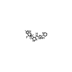 Cc1cc2c(F)c(Oc3ncnc(Nc4cc(-c5ccccn5)[nH]n4)c3C#N)ccc2[nH]1